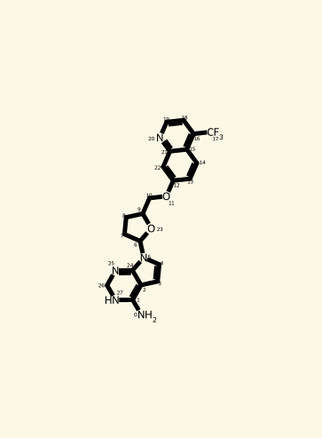 NC1=c2ccn(C3CCC(COc4ccc5c(C(F)(F)F)ccnc5c4)O3)c2=NCN1